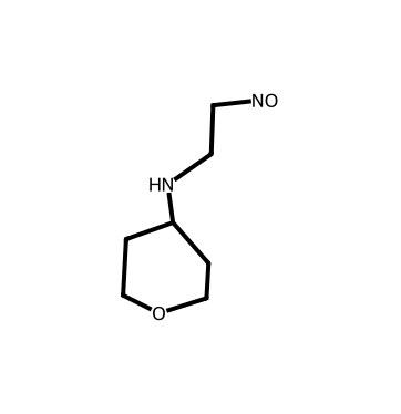 O=NCCNC1CCOCC1